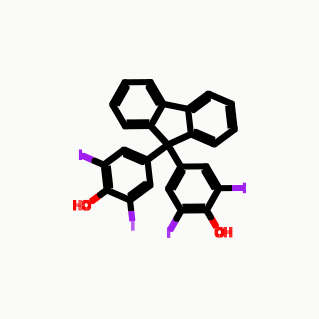 Oc1c(I)cc(C2(c3cc(I)c(O)c(I)c3)c3ccccc3-c3ccccc32)cc1I